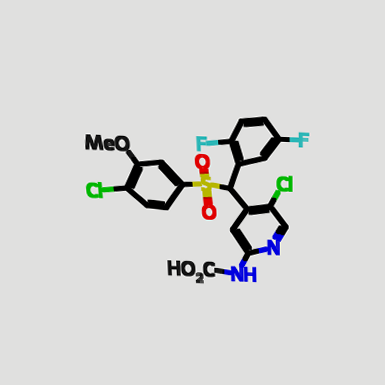 COc1cc(S(=O)(=O)C(c2cc(F)ccc2F)c2cc(NC(=O)O)ncc2Cl)ccc1Cl